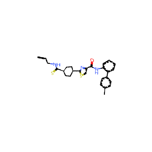 C=CCNC(=S)C1CCC(c2nc(C(=O)Nc3ccccc3-c3ccc(C)cc3)cs2)CC1